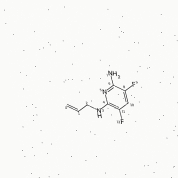 C=CCNc1nc(N)c(F)cc1F